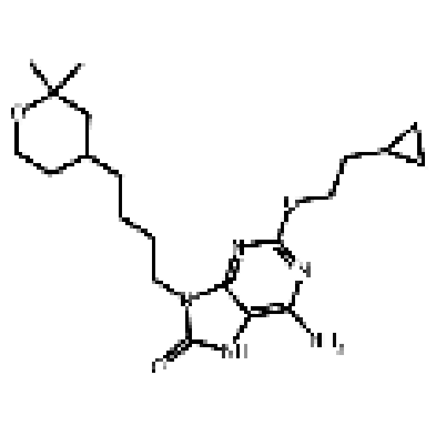 CC1(C)CC(CCCCn2c(=O)[nH]c3c(N)nc(OCCC4CC4)nc32)CCO1